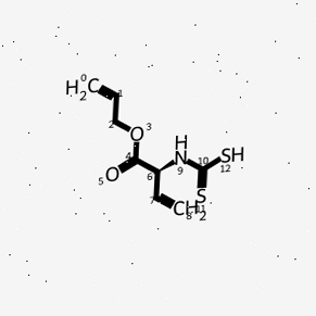 C=CCOC(=O)[C@H](C=C)NC(=S)S